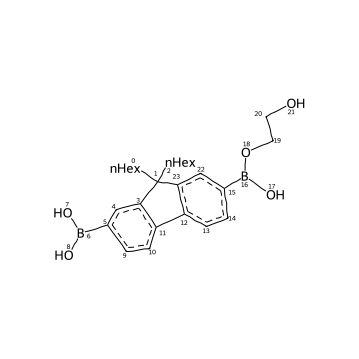 CCCCCCC1(CCCCCC)c2cc(B(O)O)ccc2-c2ccc(B(O)OCCO)cc21